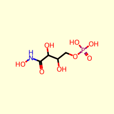 O=C(NO)C(O)C(O)COP(=O)(O)O